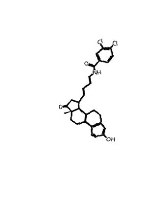 C[C@]12CCC3c4ccc(O)cc4CCC3C1C(CCCCNC(=O)c1ccc(Cl)c(Cl)c1)CC2=O